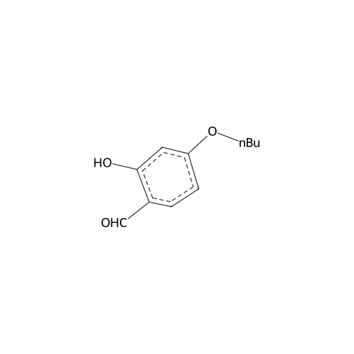 CCCCOc1ccc(C=O)c(O)c1